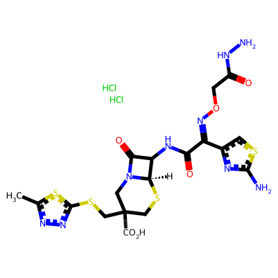 Cc1nnc(SCC2(C(=O)O)CS[C@@H]3C(NC(=O)C(=NOCC(=O)NN)c4csc(N)n4)C(=O)N3C2)s1.Cl.Cl